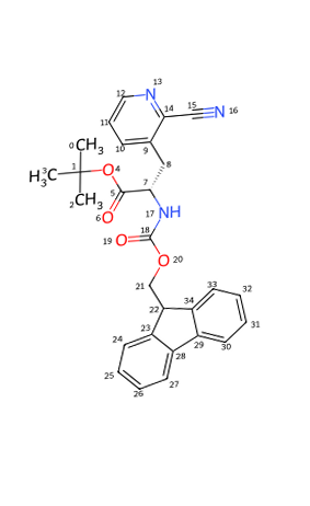 CC(C)(C)OC(=O)[C@H](Cc1cccnc1C#N)NC(=O)OCC1c2ccccc2-c2ccccc21